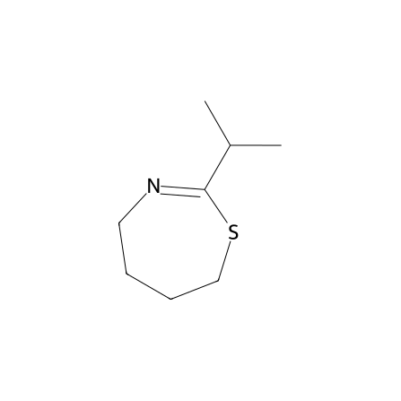 CC(C)C1=NCCCCS1